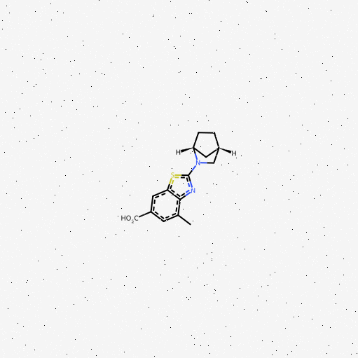 Cc1cc(C(=O)O)cc2sc(N3C[C@H]4CC[C@@H]3C4)nc12